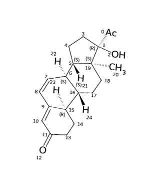 CC(=O)[C@@]1(O)CC[C@H]2[C@@H]3C=CC4=CC(=O)CC[C@@H]4[C@H]3CC[C@@]21C